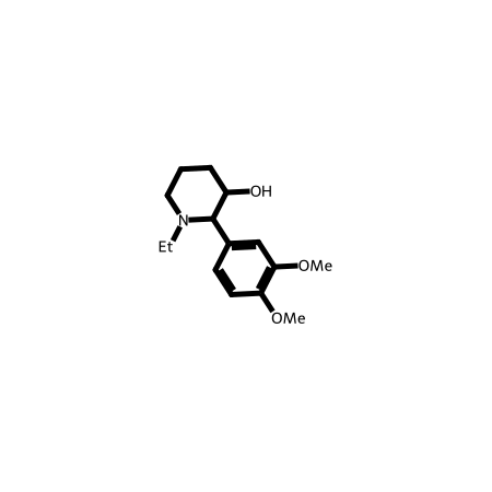 CCN1CCCC(O)C1c1ccc(OC)c(OC)c1